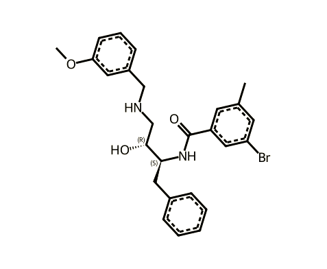 COc1cccc(CNC[C@@H](O)[C@H](Cc2ccccc2)NC(=O)c2cc(C)cc(Br)c2)c1